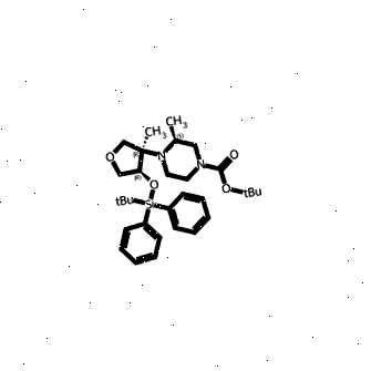 C[C@H]1CN(C(=O)OC(C)(C)C)CCN1[C@]1(C)COC[C@@H]1O[Si](c1ccccc1)(c1ccccc1)C(C)(C)C